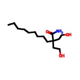 CCCCCCCCCC(CCO)(CCO)C(N)=O